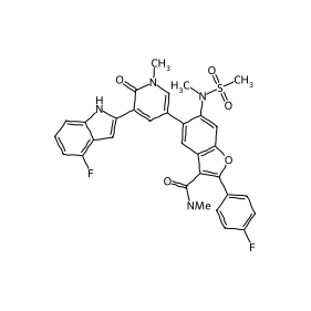 CNC(=O)c1c(-c2ccc(F)cc2)oc2cc(N(C)S(C)(=O)=O)c(-c3cc(-c4cc5c(F)cccc5[nH]4)c(=O)n(C)c3)cc12